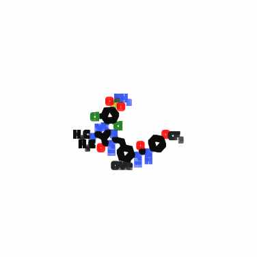 COc1ccc(Cc2nc3c(c(N(C)C)nn3-c3c(Cl)cc(S(N)(=O)=O)cc3Cl)c(=O)[nH]2)cc1NC(=O)Nc1ccc(OC(F)(F)F)cc1